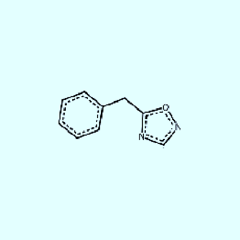 [c]1noc(Cc2ccccc2)n1